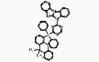 CC1(C)c2ccccc2Oc2c1cccc2[Si](c1ccccc1)(c1ccccc1)c1ncnc(-n2c3ccccc3n3c4ccccc4nc23)n1